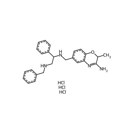 CC1Oc2ccc(CNC(CNCc3ccccc3)c3ccccc3)cc2N=C1N.Cl.Cl.Cl